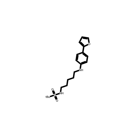 CC(C)(C)S(=O)(=O)NCCCCCNc1ccc(-c2ccco2)cc1